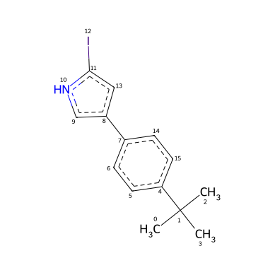 CC(C)(C)c1ccc(-c2c[nH]c(I)c2)cc1